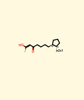 CCCCCCCC[C@H]1CCC[C@@H]1CCCCC(=O)C=C(O)F